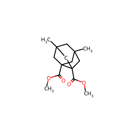 COC(=O)C12CC3(C)CC(C)(C1)CC2(C(=O)OC)C3